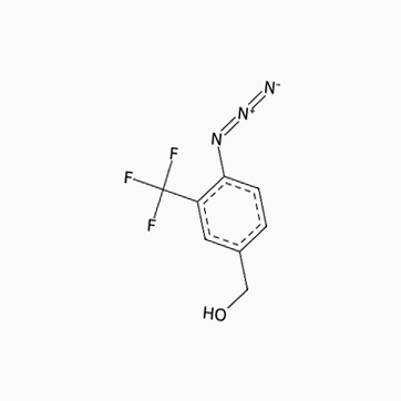 [N-]=[N+]=Nc1ccc(CO)cc1C(F)(F)F